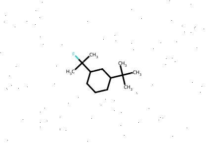 CC(C)(C)C1CCCC(C(C)(C)F)C1